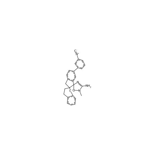 [C-]#[N+]c1cccc(-c2ccc3c(c2)C2(N=C(N)N(C)O2)C2(CCc4ccccc4C2)C3)c1